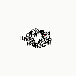 CCc1c2cccc1C(=O)NCCN1CCNC(=O)c3cccc(c3OC)C(=O)NCCN(CCNC2=O)CCN2CCNC(=O)c3cccc(c3OC)C(=O)NCCN(CCNC(=O)c3cccc(c3OC)C(=O)NCC2)CC1